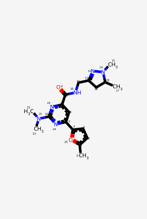 Cc1ccc(-c2cc(C(=O)NCC3=NN(C)C(C)C3)nc(N(C)C)n2)o1